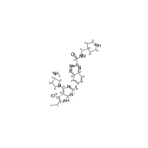 CCc1[nH]c2nc(Sc3ccc4nc(C(=O)NCC5CCNCC5)nnc4c3)nc(N3CC[C@H](N)C3)c2c1Cl